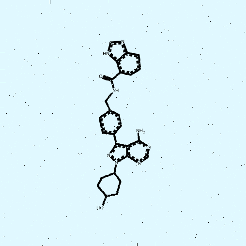 Nc1ncnc2c1c(-c1ccc(CNC(=O)c3cccc4nc[nH]c34)cc1)nn2C1CCC(O)CC1